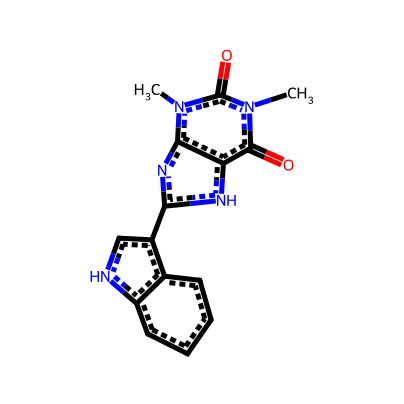 Cn1c(=O)c2[nH]c(-c3c[nH]c4ccccc34)nc2n(C)c1=O